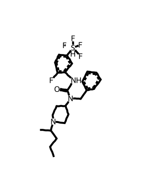 CCCC(C)N1CCC(N(Cc2ccccc2)C(=O)Nc2cc([SH](F)(F)(F)F)ccc2F)CC1